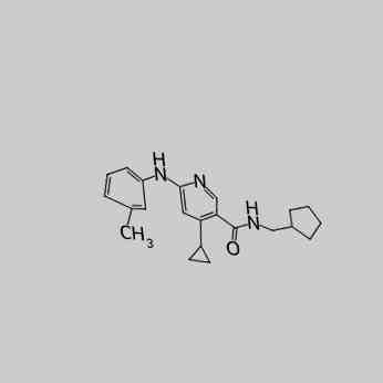 Cc1cccc(Nc2cc(C3CC3)c(C(=O)NCC3CCCC3)cn2)c1